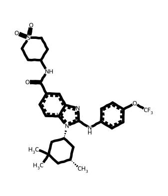 C[C@H]1C[C@@H](n2c(Nc3ccc(OC(F)(F)F)cc3)nc3cc(C(=O)NC4CCS(=O)(=O)CC4)ccc32)CC(C)(C)C1